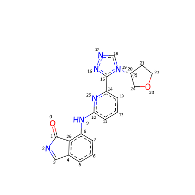 O=C1N=Cc2cccc(Nc3cccc(-c4nncn4[C@@H]4CCOC4)n3)c21